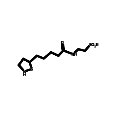 O=C(CCCCC1CCNS1)NCCS(=O)(=O)O